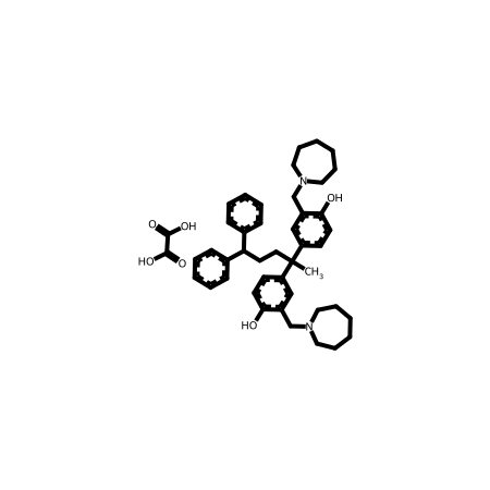 CC(CCC(c1ccccc1)c1ccccc1)(c1ccc(O)c(CN2CCCCCC2)c1)c1ccc(O)c(CN2CCCCCC2)c1.O=C(O)C(=O)O